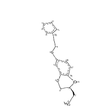 OC[C@H]1COc2cc(OCc3ccccc3)ccc2O1